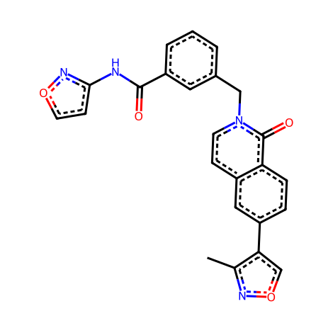 Cc1nocc1-c1ccc2c(=O)n(Cc3cccc(C(=O)Nc4ccon4)c3)ccc2c1